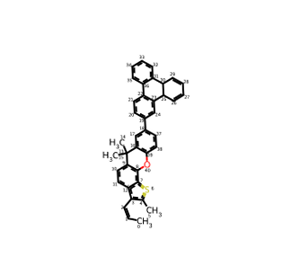 C/C=C\c1c(C)sc2c3c(ccc12)C(C)(C)c1cc(-c2ccc4c(c2)C2C=CC=CC2c2ccccc2-4)ccc1O3